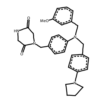 COc1cccc(CN(Cc2ccc(N3CCCC3)cc2)c2ccc(CN3CC(=O)NCC3=O)cc2)c1